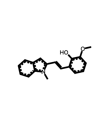 COc1cccc(/C=C/c2cc3ccccc3n2C)c1O